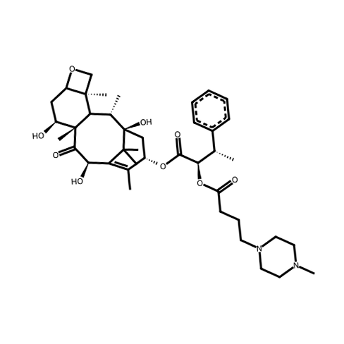 CC1=C2[C@@H](O)C(=O)[C@@]3(C)C([C@H](C)[C@](O)(C[C@@H]1OC(=O)[C@H](OC(=O)CCCN1CCN(C)CC1)[C@@H](C)c1ccccc1)C2(C)C)[C@]1(C)COC1C[C@@H]3O